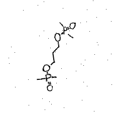 CP(C)(=O)OCCCOP(C)(C)=O